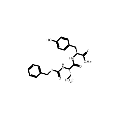 COC(=O)[C@H](Cc1ccc(O)cc1)NC(=O)[C@H](CC(=O)O)NC(=O)OCc1ccccc1